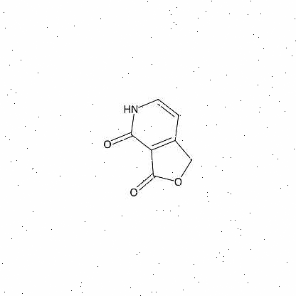 O=C1OCc2cc[nH]c(=O)c21